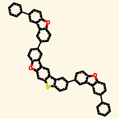 c1ccc(-c2ccc3oc4ccc(-c5ccc6oc7cc8sc9ccc(-c%10ccc%11oc%12ccc(-c%13ccccc%13)cc%12c%11c%10)cc9c8cc7c6c5)cc4c3c2)cc1